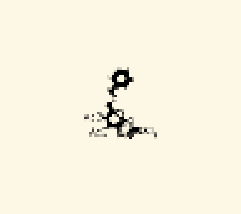 CC(=O)OC1C(COCc2ccccc2)OC(OC(=N)C(Cl)(Cl)Cl)C(OC(C)=O)C1OC(C)=O